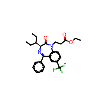 CCOC(=O)CCN1C(=O)[C@H](C(CC)CC)N=C(c2ccccc2)c2cc(C(F)(F)F)ccc21